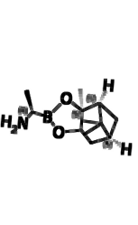 C[C@H](N)B1OC2C[C@@H]3C[C@@H](C3(C)C)[C@]2(C)O1